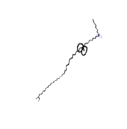 CCCCCC/C=C\CCCCCCCC(=O)OCCCCCCCCCCCCCCCCCCCCCCCCCCCCC(C)CC